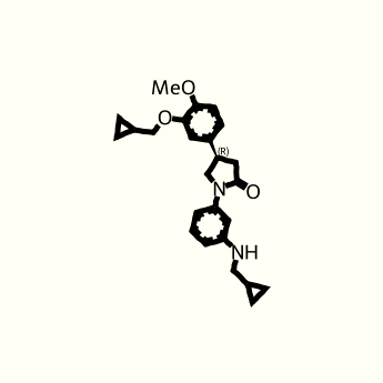 COc1ccc([C@H]2CC(=O)N(c3cccc(NCC4CC4)c3)C2)cc1OCC1CC1